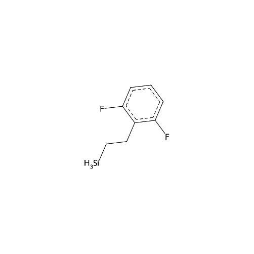 Fc1cccc(F)c1CC[SiH3]